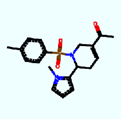 CC(=O)C1=CCC(c2cccn2C)N(S(=O)(=O)c2ccc(C)cc2)C1